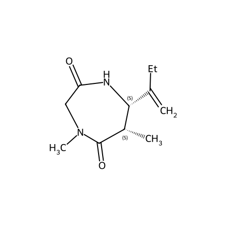 C=C(CC)[C@H]1NC(=O)CN(C)C(=O)[C@H]1C